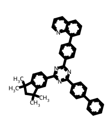 CC1(C)CC(C)(C)c2cc(-c3nc(-c4ccc(-c5ccccc5)cc4)nc(-c4ccc(-c5cccc6cccnc56)cc4)n3)ccc21